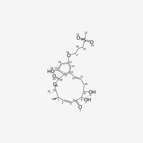 C[C@@H]1/C=C\C(=O)C(O)C(O)C/C=C/c2cc(OCCCS(C)(=O)=O)cc(O)c2C(=O)O[C@H]1C